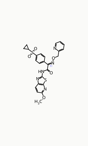 COc1ccc2nc(NC(=O)/C(=N/OCc3ccccn3)c3ccc(S(=O)(=O)C4CC4)cc3)sc2n1